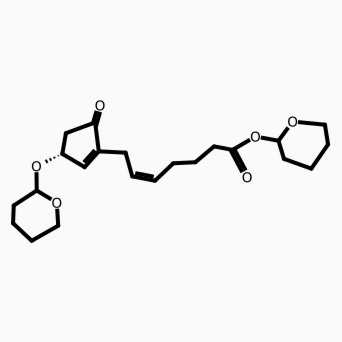 O=C(CCC/C=C\CC1=C[C@H](OC2CCCCO2)CC1=O)OC1CCCCO1